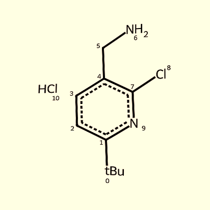 CC(C)(C)c1ccc(CN)c(Cl)n1.Cl